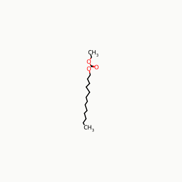 CCCCCCCCCCCCCOC(=O)OCC